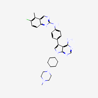 Cc1c(Cl)ccc2nc(Nc3ccc(-c4cn([C@H]5CC[C@@H](N6CCN(C)CC6)CC5)c5ncnc(N)c45)cc3)ncc12